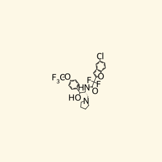 O=C(N[C@H](CN1CCCC1)[C@@H](O)c1ccc(OC(F)(F)F)cc1)C(F)(F)c1cc2cc(Cl)ccc2o1